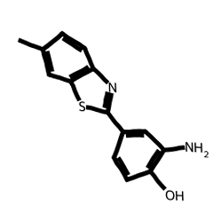 Cc1ccc2nc(-c3ccc(O)c(N)c3)sc2c1